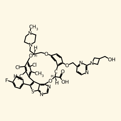 Cc1c(Cl)c2c(Cl)c(C)c1-c1c(-c3ccc(F)cc3)sc3ncnc(c13)O[C@@H](C(=O)O)Cc1cc(ccc1OCc1ccnc(N3CC(CO)C3)n1)OC[C@@H](CN1CCN(C)CC1)O2